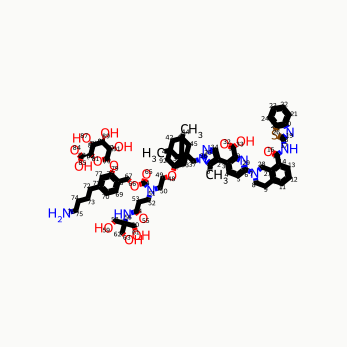 Cc1c(-c2ccc(N3CCc4cccc(C(=O)Nc5nc6ccccc6s5)c4C3)nc2C(=O)O)cnn1CC12CC3(C)CC(C)(C1)CC(OCCN(CCC(=O)NC(CO)(CO)CO)C(=O)OCc1ccc(CCCCN)cc1O[C@H]1O[C@@H](C(=O)O)[C@H](O)[C@@H](O)[C@@H]1O)(C3)C2